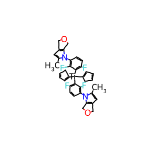 Cc1cc2c(n1-c1ccc(F)[c]([Ti]([C]3=CC=CC3)([C]3=CC=CC3)[c]3c(F)ccc(-n4c(C)cc5c4COC5)c3F)c1F)COC2